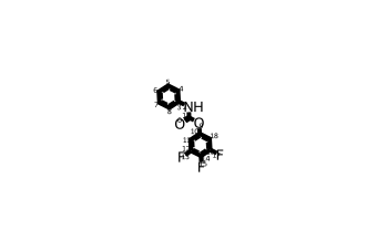 O=C(Nc1ccccc1)Oc1cc(F)c(F)c(F)c1